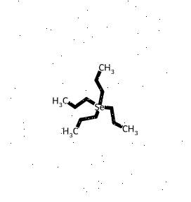 CCC[Se](CCC)(CCC)CCC